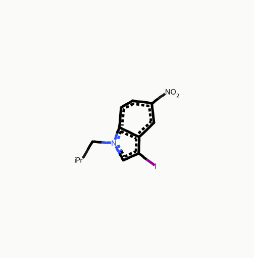 CC(C)Cn1cc(I)c2cc([N+](=O)[O-])ccc21